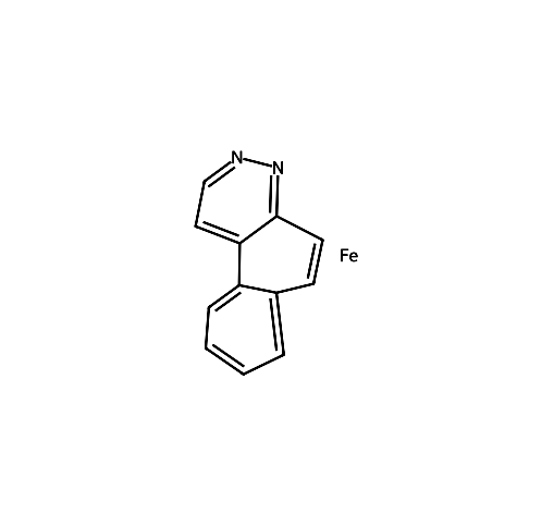 [Fe].c1ccc2c(c1)ccc1nnccc12